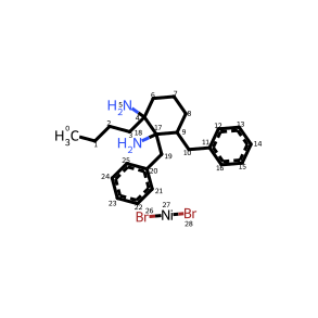 CCCCC1(N)CCCC(Cc2ccccc2)C1(N)Cc1ccccc1.[Br][Ni][Br]